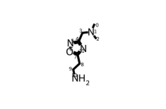 CN(C)Cc1noc(CCN)n1